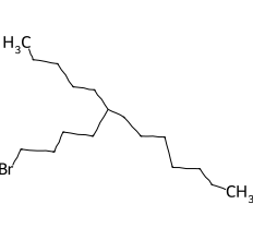 CCCCCCCC(CCCCC)CCCCBr